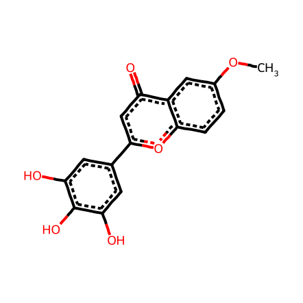 COc1ccc2oc(-c3cc(O)c(O)c(O)c3)cc(=O)c2c1